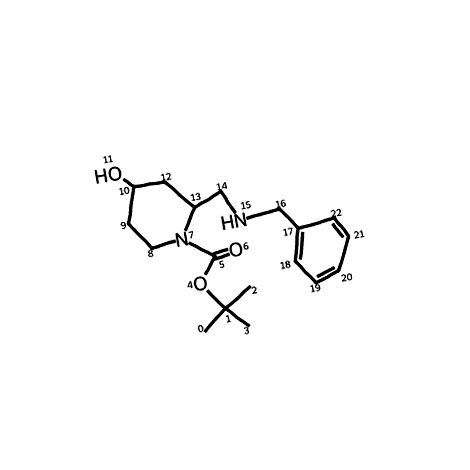 CC(C)(C)OC(=O)N1CCC(O)CC1CNCc1ccccc1